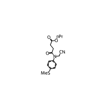 CCCOC(=O)CCC(=O)N(CC#N)c1ccc(SC)cc1